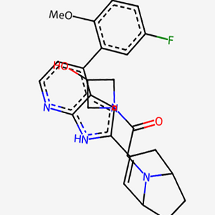 COc1ccc(F)cc1-c1ccnc2[nH]c(C3=CC4CCC(C3)N4CC(=O)N3CC(O)C3)cc12